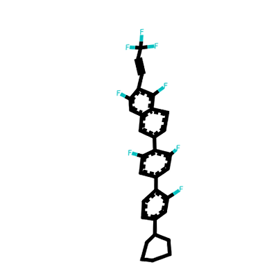 Fc1cc(C2CCCCC2)ccc1-c1cc(F)c(-c2ccc3c(F)c(C#CC(F)(F)F)c(F)cc3c2)c(F)c1